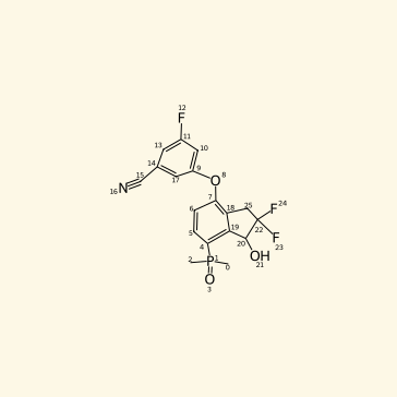 CP(C)(=O)c1ccc(Oc2cc(F)cc(C#N)c2)c2c1C(O)C(F)(F)C2